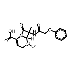 CC1(NC(=O)COc2ccccc2)C(=O)N2C(C(=O)O)=CC[S+]([O-])[C@H]21